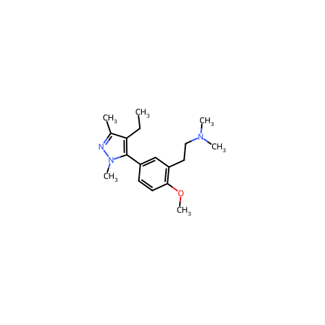 CCc1c(C)nn(C)c1-c1ccc(OC)c(CCN(C)C)c1